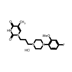 COc1cc(F)ccc1N1CCN(CCCn2cc(C)c(=O)[nH]c2=O)CC1.Cl